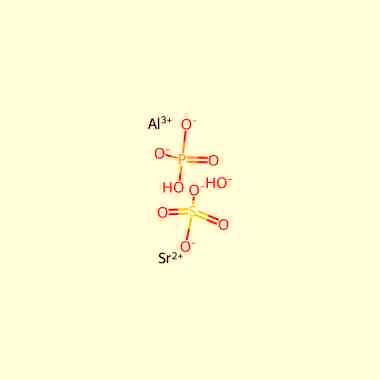 O=P([O-])([O-])O.O=S(=O)([O-])[O-].[Al+3].[OH-].[Sr+2]